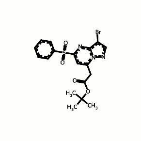 CC(C)(C)OC(=O)Cc1cc(S(=O)(=O)c2ccccc2)nc2c(Br)cnn12